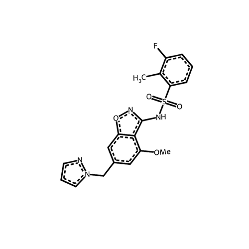 COc1cc(Cn2cccn2)cc2onc(NS(=O)(=O)c3cccc(F)c3C)c12